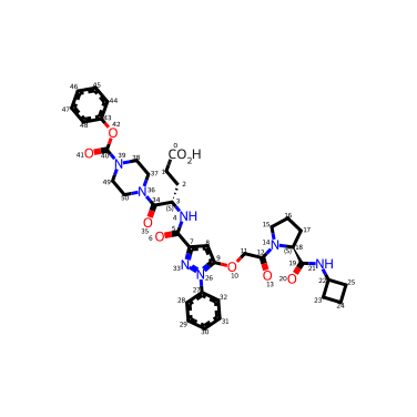 O=C(O)CC[C@H](NC(=O)c1cc(OCC(=O)N2CCC[C@H]2C(=O)NC2CCC2)n(-c2ccccc2)n1)C(=O)N1CCN(C(=O)Oc2ccccc2)CC1